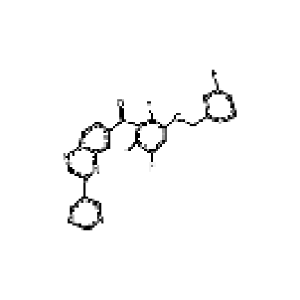 O=C(c1ccc2ncc(-c3cccnc3)nc2c1)c1c(F)c(F)cc(OCc2cccc(F)c2)c1F